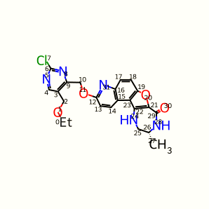 CCOCc1cnc(Cl)nc1COc1ccc2c(ccc3oc4c(c32)NC[C@@H](C)NC4=O)n1